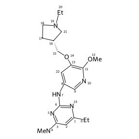 CCc1cc(NC)nc(Nc2cnc(OC)c(OC[C@@H]3CCN(CC)C3)c2)n1